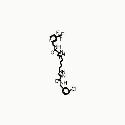 O=C(NCc1cccc(Cl)c1)c1cn(CCCCn2cc(C(=O)NCc3cc(C(F)(F)F)ccn3)nn2)nn1